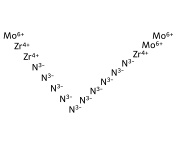 [Mo+6].[Mo+6].[Mo+6].[N-3].[N-3].[N-3].[N-3].[N-3].[N-3].[N-3].[N-3].[N-3].[N-3].[Zr+4].[Zr+4].[Zr+4]